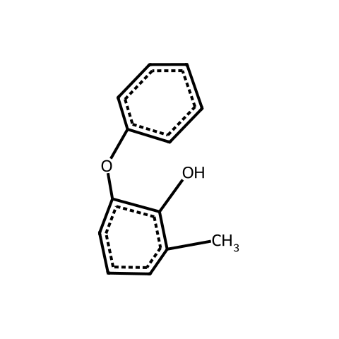 Cc1cccc(Oc2ccccc2)c1O